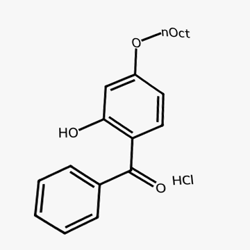 CCCCCCCCOc1ccc(C(=O)c2ccccc2)c(O)c1.Cl